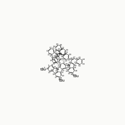 CC(C)(C)c1cc(-c2ccc3c(c2)c2ccccc2n3-c2ccccc2)c2c(c1)c1cc(C(C)(C)C)cc3c4c5c6cc(C(C)(C)C)cc7c8c9ccccc9cc(-c9ccc%10c(c9)c9ccccc9n%10-c9ccccc9)c8n(c5ccc4n2c13)c67